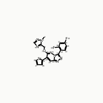 Cn1ncnc1COc1nn2c(-c3ccc(F)cc3F)nnc2cc1-c1cccs1